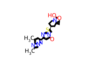 Cc1cn2nc(-c3cc(=O)n4cc([C@H]5CCN(C(=O)O)C6(CC6)C5)sc4n3)cc(C)c2n1